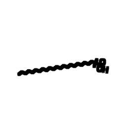 CCCCCCCCCCCCCCCCCCCCCCC(C)(C)C(=O)O